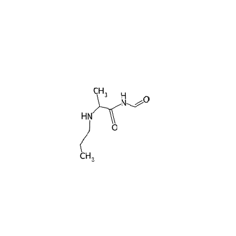 CCCNC(C)C(=O)NC=O